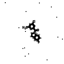 Cc1cc(Cl)cc(C(=O)N2CCc3cc(F)ccc32)n1